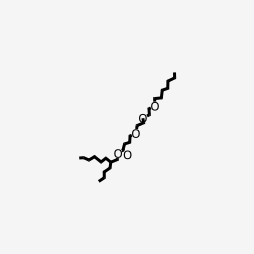 CCCCCCCOCCOCCOCCCC(=O)OCC(CCCC)CCCCCC